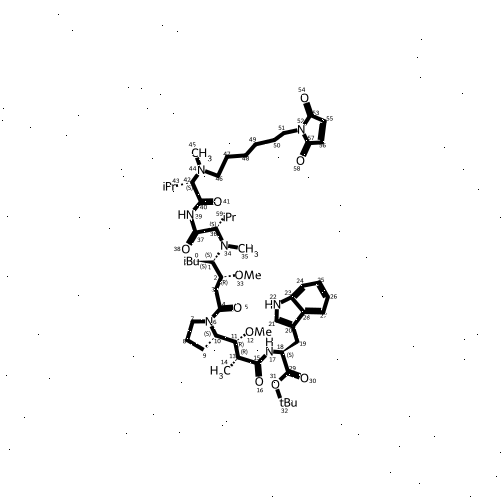 CC[C@H](C)[C@@H]([C@@H](CC(=O)N1CCC[C@H]1[C@H](OC)[C@@H](C)C(=O)N[C@@H](Cc1c[nH]c2ccccc12)C(=O)OC(C)(C)C)OC)N(C)[C@H](C(=O)NC(=O)[C@H](C(C)C)N(C)CCCCCCN1C(=O)C=CC1=O)C(C)C